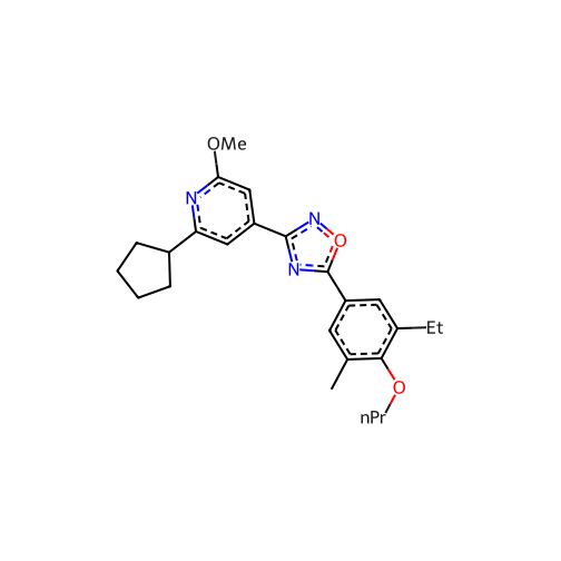 C[CH]COc1c(C)cc(-c2nc(-c3cc(OC)nc(C4CCCC4)c3)no2)cc1CC